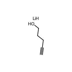 C#CCCCO.[LiH]